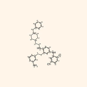 Nc1cncc(CCc2cc(Nc3nc(Cl)ncc3Cl)ccc2NCCC2CCN(Cc3ccccc3)CC2)c1